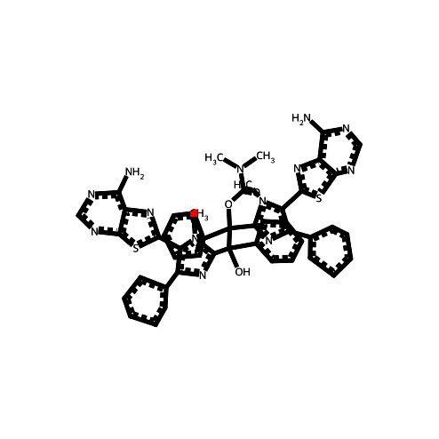 CN(C)C(=O)OC(c1ccccc1)(c1nc(-c2ccccc2)c(-c2nc3c(N)ncnc3s2)n1C)C(O)(c1ccccc1)c1nc(-c2ccccc2)c(-c2nc3c(N)ncnc3s2)n1C